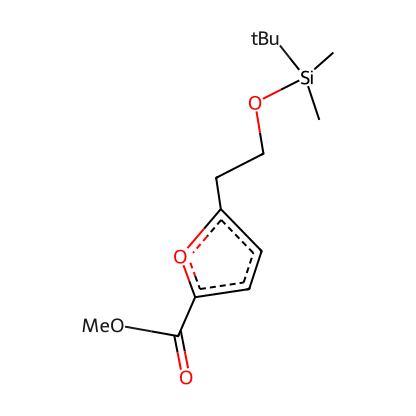 COC(=O)c1ccc(CCO[Si](C)(C)C(C)(C)C)o1